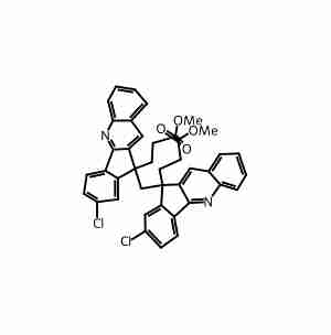 COC(=O)CCC1(CC2(CCC(=O)OC)c3cc(Cl)ccc3-c3nc4ccccc4cc32)c2cc(Cl)ccc2-c2nc3ccccc3cc21